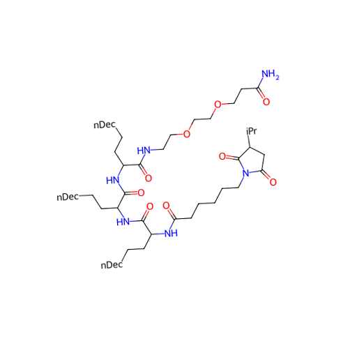 CCCCCCCCCCCCC(NC(=O)CCCCCN1C(=O)CC(C(C)C)C1=O)C(=O)NC(CCCCCCCCCCCC)C(=O)NC(CCCCCCCCCCCC)C(=O)NCCOCCOCCC(N)=O